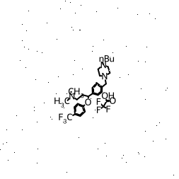 CCCCN1CCN(Cc2ccc(C(CCN(C)C)Oc3ccc(C(F)(F)F)cc3)cc2)CC1.O=C(O)C(F)(F)F